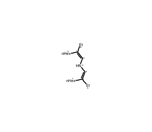 CCCCCC/C(=C\N/C=C(/CC)CCCCCC)CC